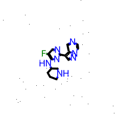 Fc1cnc(-c2cnn3ccncc23)nc1NC1CCCNC1